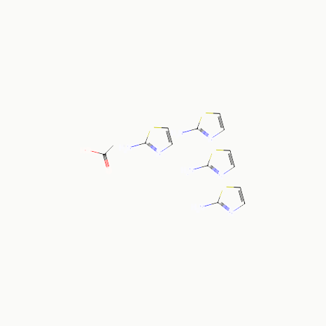 CC(=O)O.Nc1nccs1.Nc1nccs1.Nc1nccs1.Nc1nccs1